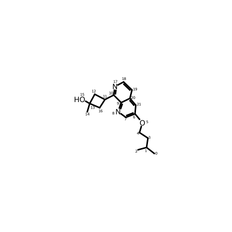 CC(C)CCOc1cnc2c(C3CC(C)(O)C3)nccc2c1